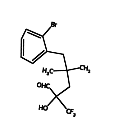 CC(C)(Cc1ccccc1Br)CC(O)(C=O)C(F)(F)F